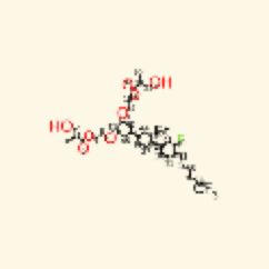 C=C(CO)C(=O)OCCOc1cc(OCCOC(=O)C(C)CO)cc(-c2ccc(-c3ccc(CCCCCC(F)(F)F)c(F)c3)c(CC)c2)c1